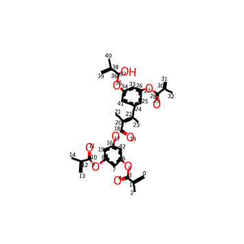 C=C(C)C(=O)Oc1cc(OC(=O)C(=C)C)cc(OC(=O)/C(C)=C(\C)c2cc(OC(=O)C(=C)C)cc(OC(O)C(=C)C)c2)c1